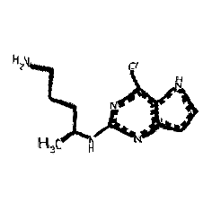 CC(CCCN)Nc1nc(Cl)c2[nH]ccc2n1